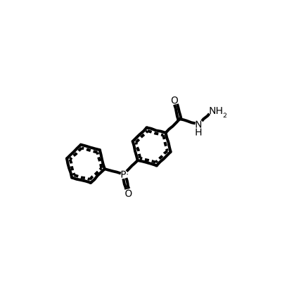 NNC(=O)c1ccc([P](=O)c2ccccc2)cc1